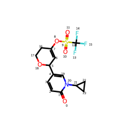 O=c1ccc(C2C=C(OS(=O)(=O)C(F)(F)F)CCO2)cn1C1CC1